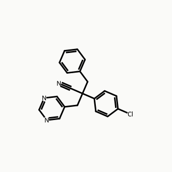 N#CC(Cc1ccccc1)(Cc1cncnc1)c1ccc(Cl)cc1